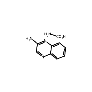 NC(=O)O.Nc1cnc2ccccc2n1